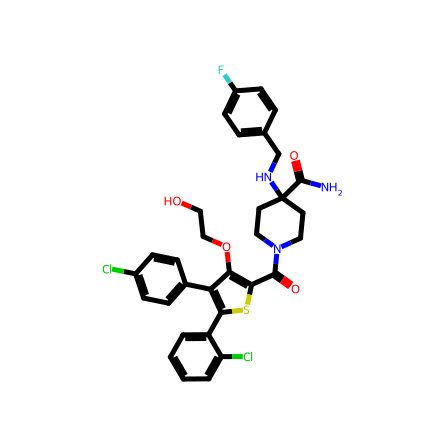 NC(=O)C1(NCc2ccc(F)cc2)CCN(C(=O)c2sc(-c3ccccc3Cl)c(-c3ccc(Cl)cc3)c2OCCO)CC1